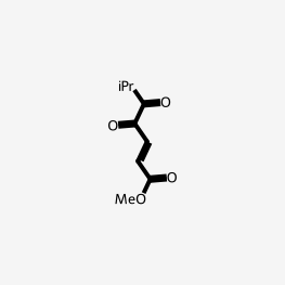 COC(=O)/C=C/C(=O)C(=O)C(C)C